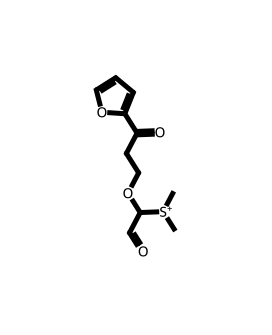 C[S+](C)C(C=O)OCCC(=O)c1ccco1